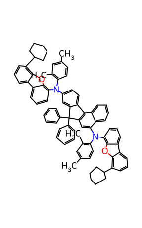 Cc1ccc(N(c2ccc3c(c2)C(c2ccccc2)(c2ccccc2)c2cc(N(c4ccc(C)cc4C)c4cccc5c4oc4c(C6CCCCC6)cccc45)c4ccccc4c2-3)c2cccc3c2oc2c(C4CCCCC4)cccc23)c(C)c1